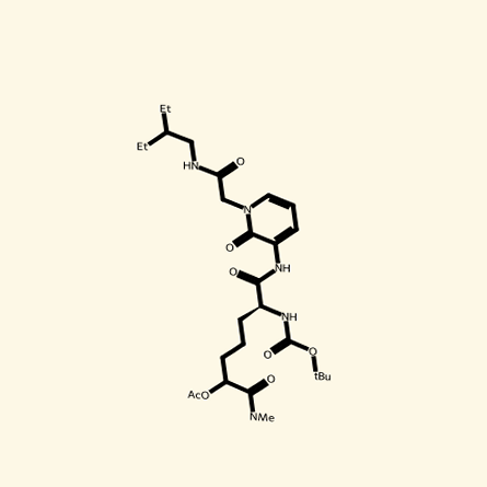 CCC(CC)CNC(=O)Cn1cccc(NC(=O)[C@H](CCCC(OC(C)=O)C(=O)NC)NC(=O)OC(C)(C)C)c1=O